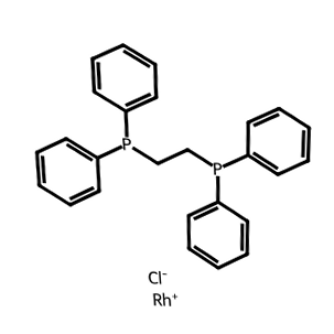 [Cl-].[Rh+].c1ccc(P(CCP(c2ccccc2)c2ccccc2)c2ccccc2)cc1